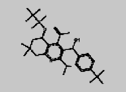 C=C(C)c1c(C(O)c2ccc(C(C)(C)C)cc2)c(C(C)C)nc2c1[C@H](O[Si](C)(C)C(C)(C)C)CC(C)(C)C2